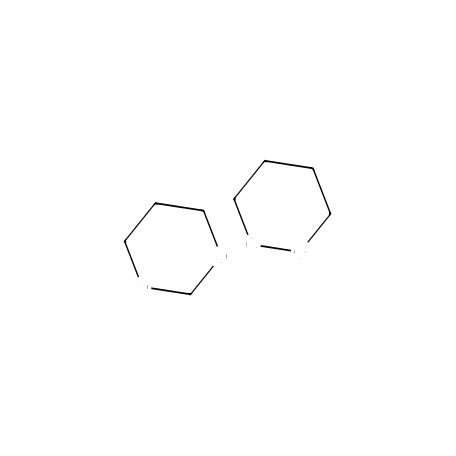 C1CCOOC1.C1COCOC1